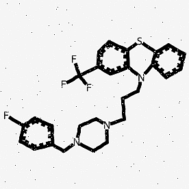 Fc1ccc(CN2CCN(CCCN3c4ccccc4Sc4ccc(C(F)(F)F)cc43)CC2)cc1